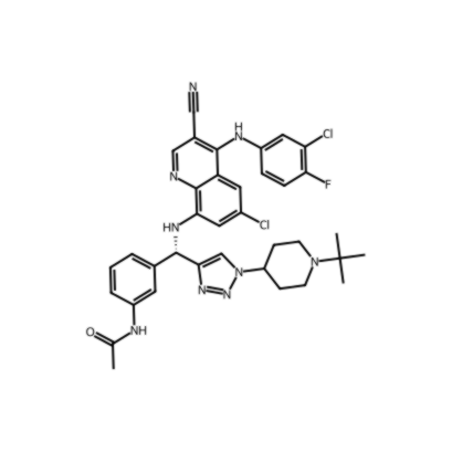 CC(=O)Nc1cccc([C@H](Nc2cc(Cl)cc3c(Nc4ccc(F)c(Cl)c4)c(C#N)cnc23)c2cn(C3CCN(C(C)(C)C)CC3)nn2)c1